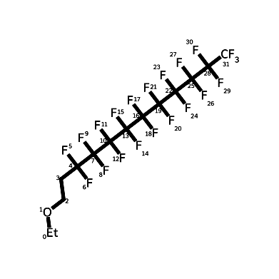 CCOCCC(F)(F)C(F)(F)C(F)(F)C(F)(F)C(F)(F)C(F)(F)C(F)(F)C(F)(F)C(F)(F)C(F)(F)F